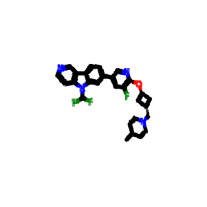 CC1CCN(C[C@H]2C[C@H](Oc3ncc(-c4ccc5c6cnccc6n(C(F)F)c5c4)cc3F)C2)CC1